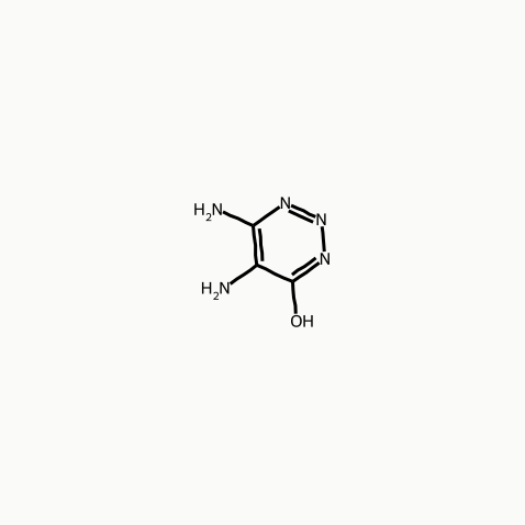 Nc1nnnc(O)c1N